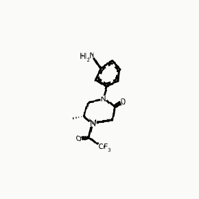 C[C@@H]1CN(c2cccc(N)c2)C(=O)CN1C(=O)C(F)(F)F